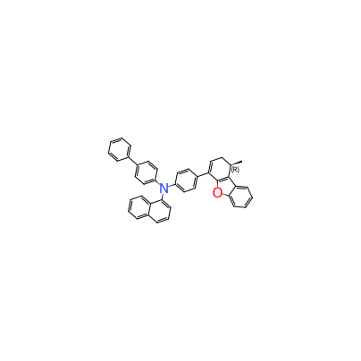 C[C@@H]1CC=C(c2ccc(N(c3ccc(-c4ccccc4)cc3)c3cccc4ccccc34)cc2)c2oc3ccccc3c21